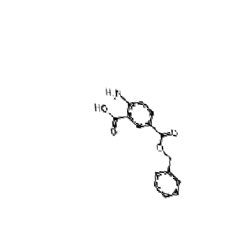 Nc1ccc(C(=O)OCc2ccccc2)cc1C(=O)O